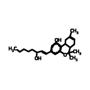 CCCCCC(O)C=Cc1cc(O)c2c(c1)OC(C)(C)C1CC=C(C)CC21